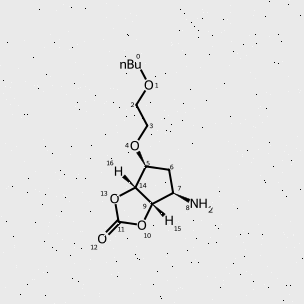 CCCCOCCO[C@H]1C[C@@H](N)[C@@H]2OC(=O)O[C@@H]21